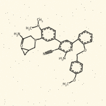 COc1ccc(COc2ccccc2-c2cc(-c3ccc(N(C)C)c(N(CC(N)=O)CC4CC4)c3)c(C#N)c(N)n2)cc1